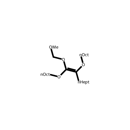 CCCCCCCCOC(CCCCCCC)=C(OCCCCCCCC)OCOC